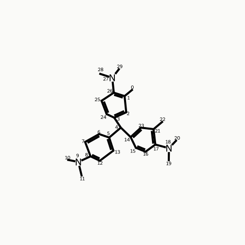 Cc1cc(C(c2ccc(N(C)C)cc2)c2ccc(N(C)C)c(C)c2)ccc1N(C)C